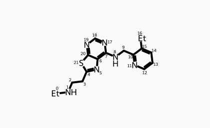 CCNCCc1nc2c(NCc3ncccc3CC)ncnc2s1